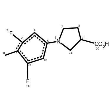 Cc1c(F)cc(N2CCC(C(=O)O)C2)cc1F